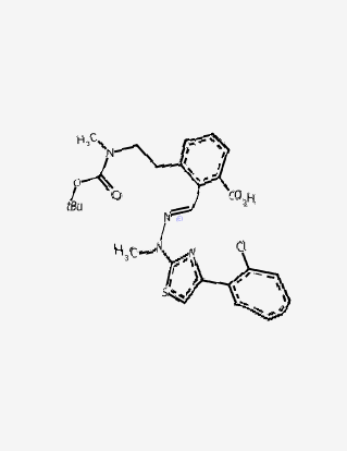 CN(CCc1cccc(C(=O)O)c1/C=N/N(C)c1nc(-c2ccccc2Cl)cs1)C(=O)OC(C)(C)C